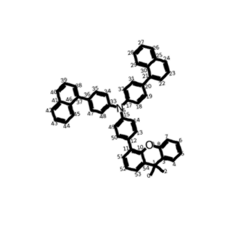 CC1(C)c2ccccc2Oc2c(-c3ccc(N(c4ccc(-c5cccc6ccccc56)cc4)c4ccc(-c5cccc6ccccc56)cc4)cc3)cccc21